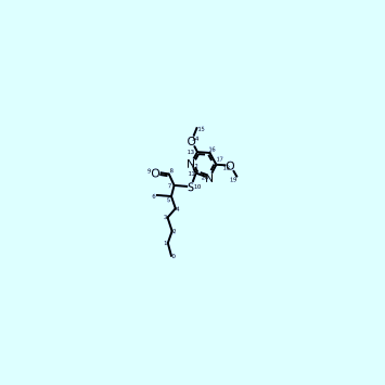 CCCCCC(C)C(C=O)Sc1nc(OC)cc(OC)n1